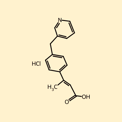 CC(=CC(=O)O)c1ccc(Cc2cccnc2)cc1.Cl